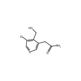 NC(=O)Cc1cncc(Cl)c1CO